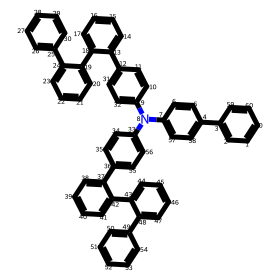 c1ccc(-c2ccc(N(c3ccc(-c4ccccc4-c4ccccc4-c4ccccc4)cc3)c3ccc(-c4ccccc4-c4ccccc4-c4ccccc4)cc3)cc2)cc1